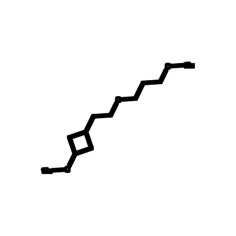 CC(C)(C)OCCCOCCC1CC(OC(C)(C)C)C1